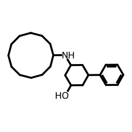 OC1CC(NC2CCCCCCCCCCC2)CC(c2ccccc2)C1